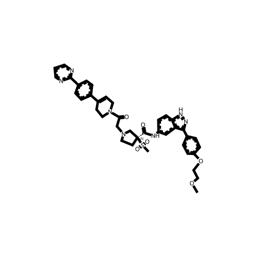 COCCOc1ccc(-c2n[nH]c3ccc(NC(=O)[C@]4(S(C)(=O)=O)CCN(CC(=O)N5CC=C(c6ccc(-c7ncccn7)cc6)CC5)C4)cc23)cc1